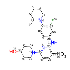 CC1CCCCN1c1ccc(Nc2nc(N3CCC(O)CC3)ccc2[N+](=O)[O-])cc1F